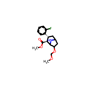 COCOC1CC2C[C@@H](c3ccccc3F)[C@H](C(=O)OC)C1N2